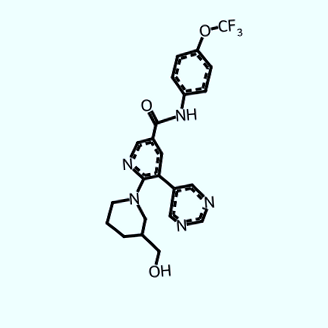 O=C(Nc1ccc(OC(F)(F)F)cc1)c1cnc(N2CCCC(CO)C2)c(-c2cncnc2)c1